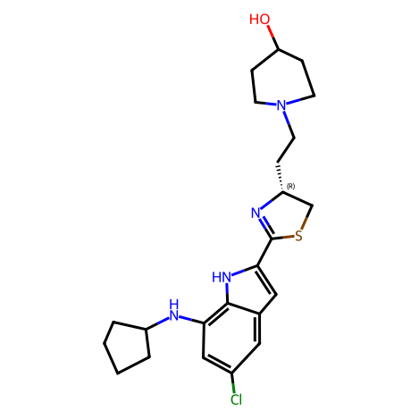 OC1CCN(CC[C@@H]2CSC(c3cc4cc(Cl)cc(NC5CCCC5)c4[nH]3)=N2)CC1